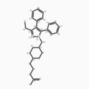 C=C(C)CCCC1CCC(Cn2nc(CC)c(-c3ccccc3)c2-c2ccccc2)CC1